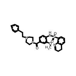 COc1cc(C(=O)N2CCN(CCc3ccccc3)CC2)ccc1NS(=O)(=O)c1cccc2c1N=CCC2